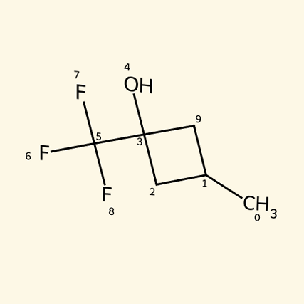 CC1CC(O)(C(F)(F)F)C1